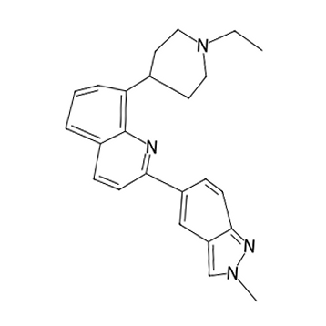 CCN1CCC(c2cccc3ccc(-c4ccc5nn(C)cc5c4)nc23)CC1